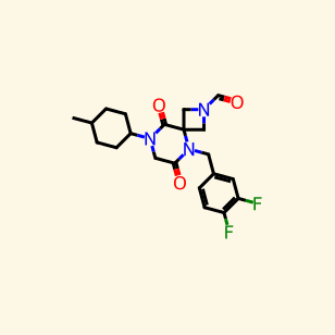 CC1CCC(N2CC(=O)N(Cc3ccc(F)c(F)c3)C3(CN(C=O)C3)C2=O)CC1